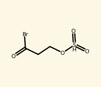 O=C(Br)CCO[SH](=O)=O